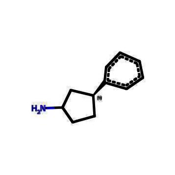 NC1CC[C@H](c2ccccc2)C1